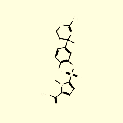 COC(=O)c1ccc(S(=O)(=O)Nc2cc(C3(C)CCSC(N)=N3)ccc2F)n1C